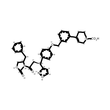 O=C(O)N1CC=C(c2cccc(COc3ccc([C@H](CC(=O)N4C(=O)OCC4Cc4ccccc4)c4ccon4)cc3)c2)CC1